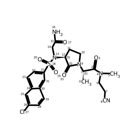 C[C@@H](C(=O)N(C)CCC#N)N1CC[C@H](N(CC(N)=O)S(=O)(=O)c2ccc3cc(Cl)ccc3c2)C1=O